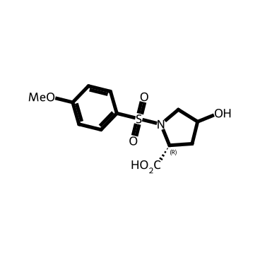 COc1ccc(S(=O)(=O)N2CC(O)C[C@@H]2C(=O)O)cc1